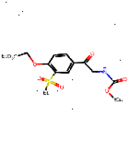 CCOC(=O)COc1ccc(C(=O)CNC(=O)OC(C)(C)C)cc1S(=O)(=O)CC